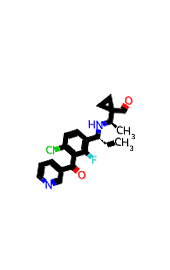 CC[C@@H](N[C@H](C)C1(C=O)CC1)c1ccc(Cl)c(C(=O)c2cccnc2)c1F